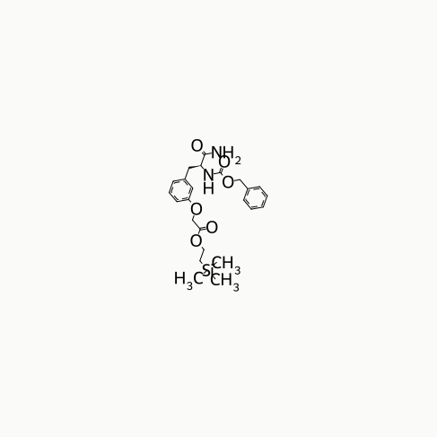 C[Si](C)(C)CCOC(=O)COc1cccc(C[C@H](NC(=O)OCc2ccccc2)C(N)=O)c1